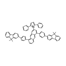 CC1(C)c2ccccc2-c2ccc(-c3ccc(-c4cccc5cc6c(-c7ccc(-c8ccc9c(c8)C(C)(C)c8ccccc8-9)cc7)cc(-n7c(-c8ccccc8)ccc7-c7ccccc7)cc6cc45)cc3)cc21